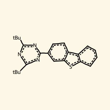 CC(C)(C)c1nc(-c2ccc3c(c2)sc2ccccc23)nc(C(C)(C)C)n1